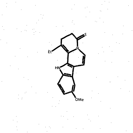 CCC1=C2c3[nH]c4ccc(OC)cc4c3C=CN2C(=S)CC1